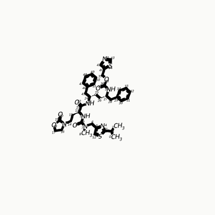 CC(C)c1nc(CN(C)C(=O)N[C@@H](CCN2CCOC2=O)C(=O)N[C@@H](CC[C@@H](Cc2ccccc2)NC(=O)OCc2cncs2)Cc2ccccc2)cs1